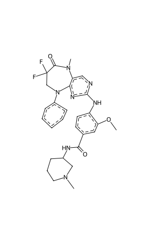 COc1cc(C(=O)NC2CCCN(C)C2)ccc1Nc1ncc2c(n1)N(c1ccccc1)CC(F)(F)C(=O)N2C